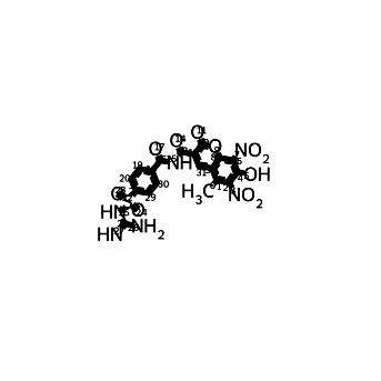 Cc1c([N+](=O)[O-])c(O)c([N+](=O)[O-])c2oc(=O)c(C(=O)NC(=O)c3ccc(S(=O)(=O)NC(=N)N)cc3)cc12